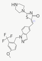 COc1ccc(Cn2ncc3cc(/C=C4\SC(N5CCNCC5)=NC4=O)ccc32)c(C(F)(F)F)c1